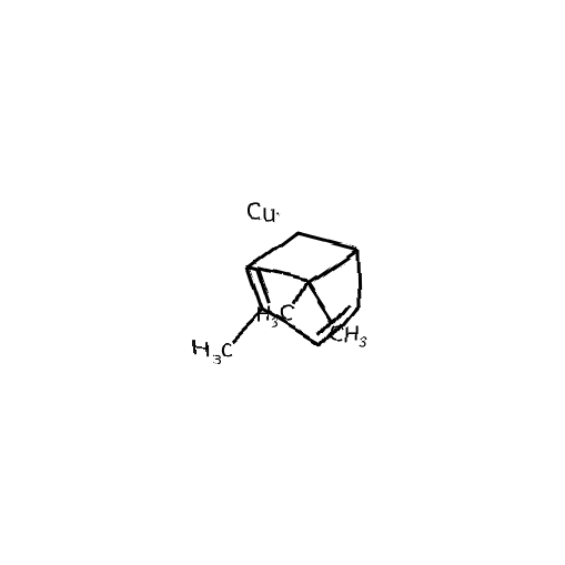 CC1=C2CC(C=C1)C2(C)C.[Cu]